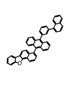 c1cc(-c2cccc3ccccc23)cc(-c2c3ccccc3c(-c3cccc4c3ccc3c5ccccc5oc43)c3ccccc23)c1